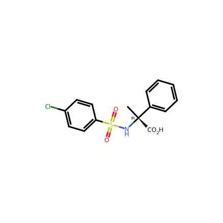 C[C@](NS(=O)(=O)c1ccc(Cl)cc1)(C(=O)O)c1ccccc1